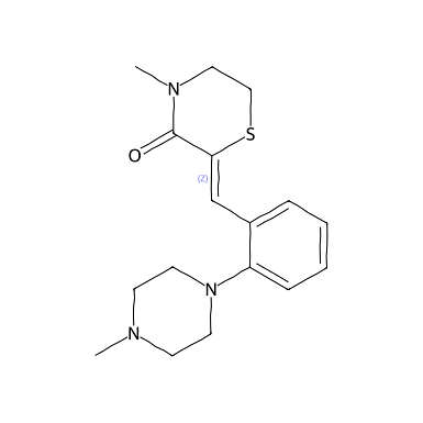 CN1CCN(c2ccccc2/C=C2\SCCN(C)C2=O)CC1